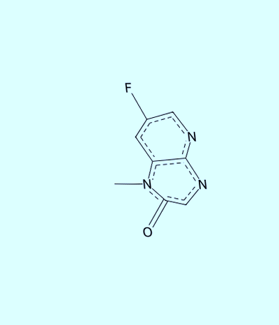 Cn1c(=O)cnc2ncc(F)cc21